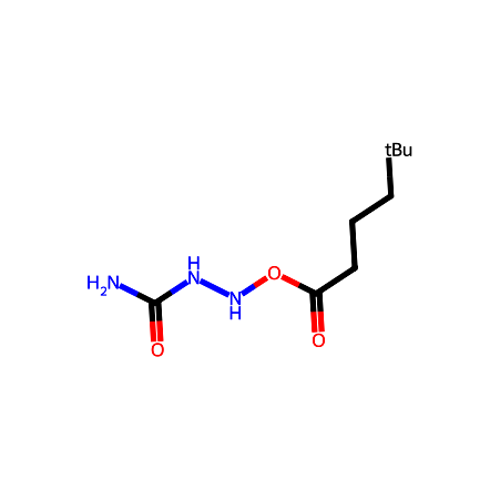 CC(C)(C)CCCC(=O)ONNC(N)=O